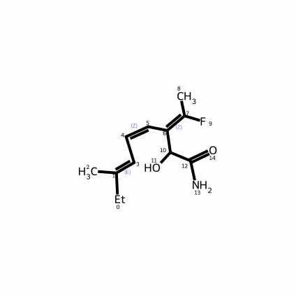 CC/C(C)=C/C=C\C(=C(/C)F)C(O)C(N)=O